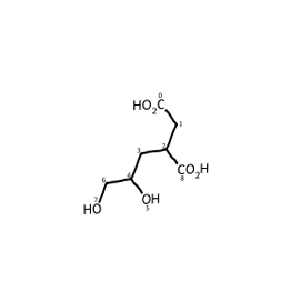 O=C(O)CC(CC(O)CO)C(=O)O